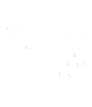 Cc1cc(C2CCN(CCS(C)(=O)=O)CC2)ccc1Nc1nc(Nc2ccccc2S(=O)(=O)C(C)C)n2nccc2n1